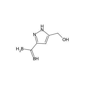 B=C(B)c1cc(CO)[nH]n1